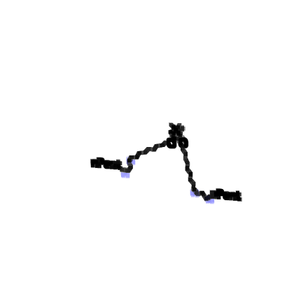 CCCCC/C=C\C/C=C\CCCCCCCCO[C@H]1C[N+](C)(C)C[C@H]1OCCCCCCCC/C=C\C/C=C\CCCCC